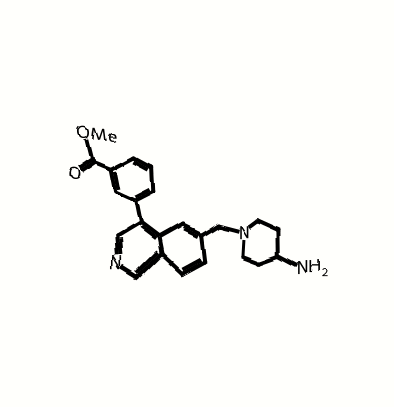 COC(=O)c1cccc(-c2cncc3ccc(CN4CCC(N)CC4)cc23)c1